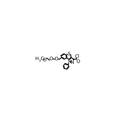 COCCOCOCc1ccc2c(c1)-c1c(c(C(=O)Cl)nn1-c1ccccc1)CS2